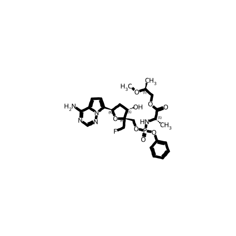 CO[C@@H](C)COC(=O)[C@H](C)NP(=O)(OC[C@@]1(CF)O[C@@H](c2ccc3c(N)ncnn23)C[C@@H]1O)Oc1ccccc1